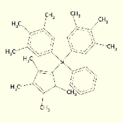 CC1=C(C)C(C)C([Si](c2ccccc2)(c2cc(C)c(C)c(C)c2)c2cc(C)c(C)c(C)c2)=C1C